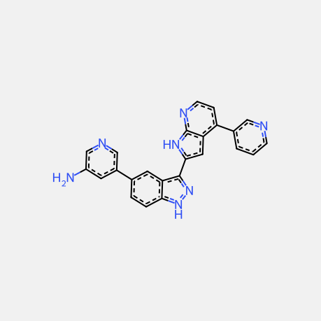 Nc1cncc(-c2ccc3[nH]nc(-c4cc5c(-c6cccnc6)ccnc5[nH]4)c3c2)c1